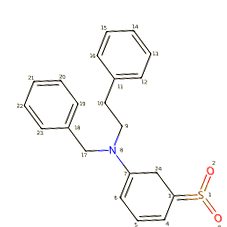 O=S(=O)=C1C=CC=C(N(CCc2ccccc2)Cc2ccccc2)C1